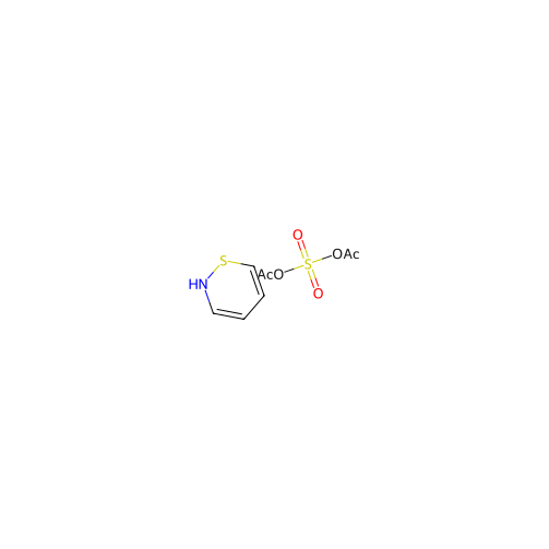 C1=CNSC=C1.CC(=O)OS(=O)(=O)OC(C)=O